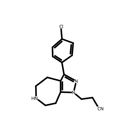 N#CCCn1nc(-c2ccc(Cl)cc2)c2c1CCNCC2